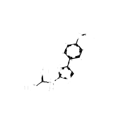 COc1ccc(-c2csc(NC(C)C)n2)cc1